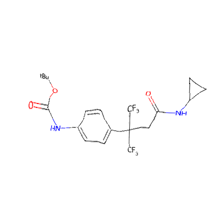 CC(C)(C)OC(=O)Nc1ccc(C(CC(=O)NC2CC2)(C(F)(F)F)C(F)(F)F)cc1